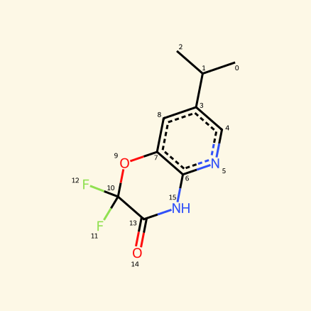 CC(C)c1cnc2c(c1)OC(F)(F)C(=O)N2